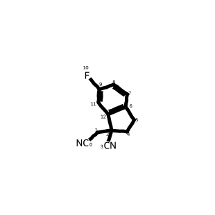 N#CCC1(C#N)CCc2ccc(F)cc21